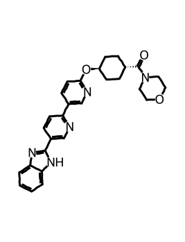 O=C([C@H]1CC[C@H](Oc2ccc(-c3ccc(-c4nc5ccccc5[nH]4)cn3)cn2)CC1)N1CCOCC1